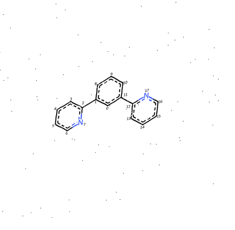 [c]1c(-c2ccccn2)cccc1-c1ccccn1